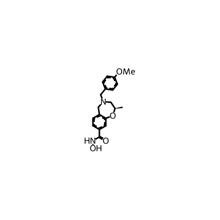 COc1ccc(CN2Cc3ccc(C(=O)NO)cc3O[C@H](C)C2)cc1